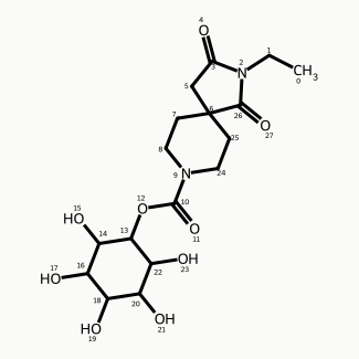 CCN1C(=O)CC2(CCN(C(=O)OC3C(O)C(O)C(O)C(O)C3O)CC2)C1=O